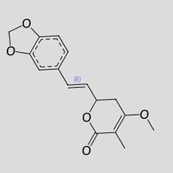 COC1=C(C)C(=O)OC(/C=C/c2ccc3c(c2)OCO3)C1